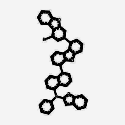 Brc1cc(-c2cccc3oc4c(-c5cccc6c(N(c7ccccc7)c7nc8ccccc8o7)cccc56)cccc4c23)cc2oc3ccccc3c12